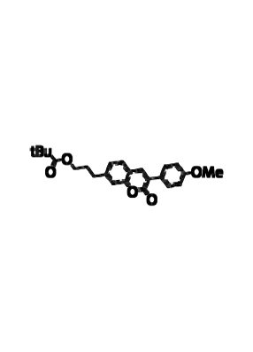 COc1ccc(-c2cc3ccc(CCCOC(=O)C(C)(C)C)cc3oc2=O)cc1